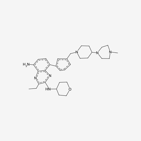 CCc1nc2c(N)ccc(-c3cccc(CN4CCC(N5CCN(C)CC5)CC4)c3)c2nc1NC1CCOCC1